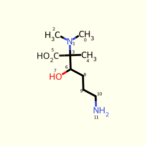 CN(C)C(C)(C(=O)O)C(O)CCCN